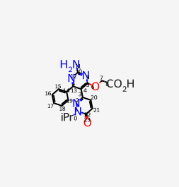 CC(C)n1nc(-c2c(OCC(=O)O)nc(N)nc2-c2ccccc2)ccc1=O